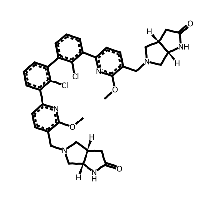 COc1nc(-c2cccc(-c3cccc(-c4ccc(CN5C[C@@H]6CC(=O)N[C@@H]6C5)c(OC)n4)c3Cl)c2Cl)ccc1CN1C[C@@H]2CC(=O)N[C@@H]2C1